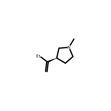 C=C(CC)[C@@H]1CCN(C)C1